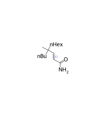 CCCCCCC(C)(/C=C/C(N)=O)CCCC